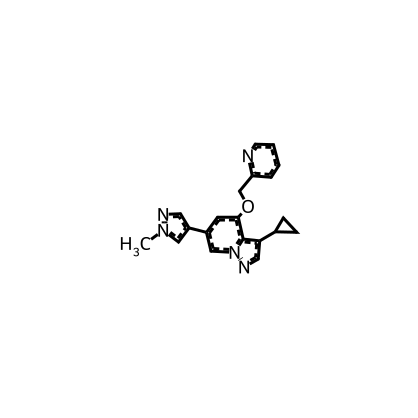 Cn1cc(-c2cc(OCc3ccccn3)c3c(C4CC4)cnn3c2)cn1